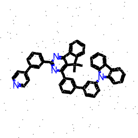 CC1(C)c2ccccc2-c2nc(-c3cccc(-c4ccncc4)c3)nc(-c3cccc(-c4cccc(-n5c6ccccc6c6ccccc65)c4)c3)c21